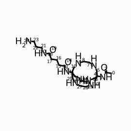 CC(=O)NC12CNCCNCC(NC(=O)CCCC(=O)NCCCN)(CNCCNC1)CNCCNC2